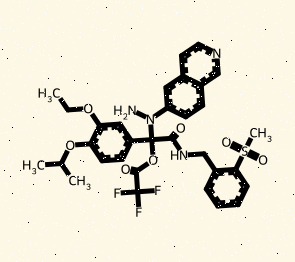 CCOc1cc(C(OC(=O)C(F)(F)F)(C(=O)NCc2ccccc2S(C)(=O)=O)N(N)c2ccc3cnccc3c2)ccc1OC(C)C